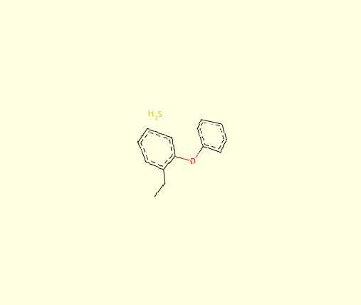 CCc1ccccc1Oc1ccccc1.S